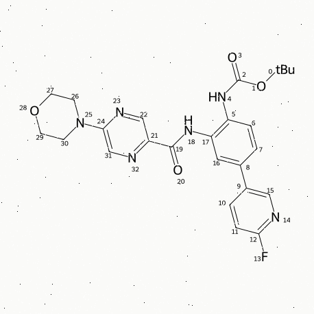 CC(C)(C)OC(=O)Nc1ccc(-c2ccc(F)nc2)cc1NC(=O)c1cnc(N2CCOCC2)cn1